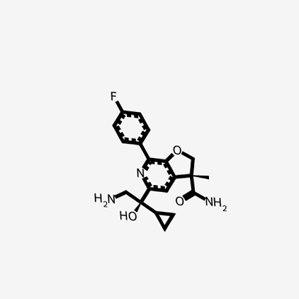 C[C@]1(C(N)=O)COc2c1cc([C@@](O)(CN)C1CC1)nc2-c1ccc(F)cc1